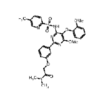 COc1ccccc1Oc1c(NS(=O)(=O)c2ccc(C)cn2)nc(-c2cccc(OCC(=O)N(C)C)c2)nc1OC